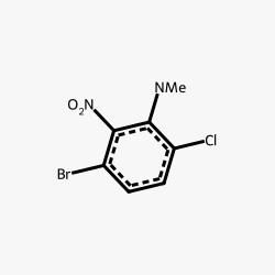 CNc1c(Cl)ccc(Br)c1[N+](=O)[O-]